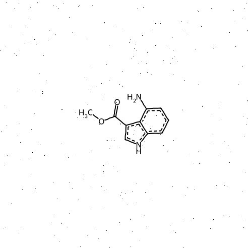 COC(=O)c1c[nH]c2cccc(N)c12